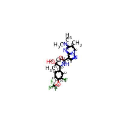 Cc1cn2ncc(C(=O)N[C@@H](c3ccc(OC(F)(F)F)c(F)c3)C(C)(C)O)c2nc1N(C)C